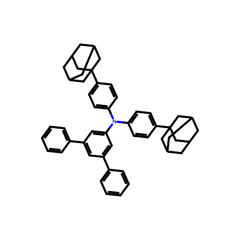 c1ccc(-c2cc(-c3ccccc3)cc(N(c3ccc(C45CC6CC(CC(C6)C4)C5)cc3)c3ccc(C45CC6CC(CC(C6)C4)C5)cc3)c2)cc1